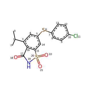 CC(C)c1cc(Sc2ccc(Cl)cc2)cc2c1C(=O)NS2(=O)=O